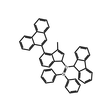 CC1=C[CH]([Zr]([CH]2c3ccccc3-c3ccccc32)=[Si](c2ccccc2)c2ccccc2)c2cccc(-c3cc4ccccc4c4ccccc34)c21